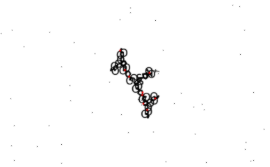 C=CC(=O)OCOc1ccc(OC(=O)C2CCC(C(=O)Oc3ccc(OC(=O)C4CCC(C(=O)Oc5ccc(OCOC(=O)C=C)c(OCOC(=O)C=C)c5)CC4)c4c3SC(c3ccc([N+](=O)[O-])cc3)S4)CC2)cc1OCOC(=O)C=C